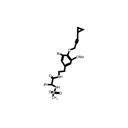 COc1cc(CCNC(=O)C(NS(C)(=O)=O)C(C)C)cc(Br)c1OCC#CC1CC1